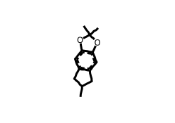 CC1Cc2cc3c(cc2C1)OC(C)(C)O3